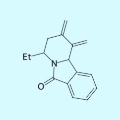 C=C1CC(CC)N2C(=O)c3ccccc3C2C1=C